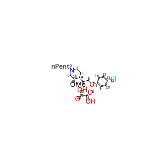 CCCCCN1CC[C@@H](CCOc2ccc(Cl)cc2)[C@@H](OC)C1.O=C(O)C(=O)O